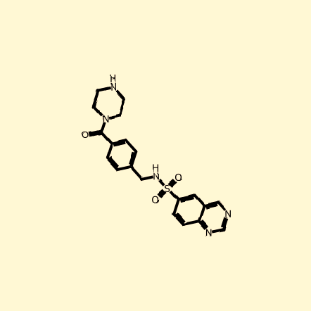 O=C(c1ccc(CNS(=O)(=O)c2ccc3ncncc3c2)cc1)N1CCNCC1